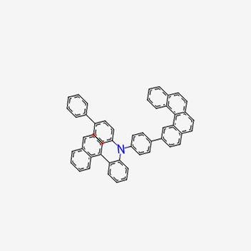 c1ccc(-c2ccc(N(c3ccc(-c4ccc5ccc6ccc7ccccc7c6c5c4)cc3)c3ccccc3-c3cccc4ccccc34)cc2)cc1